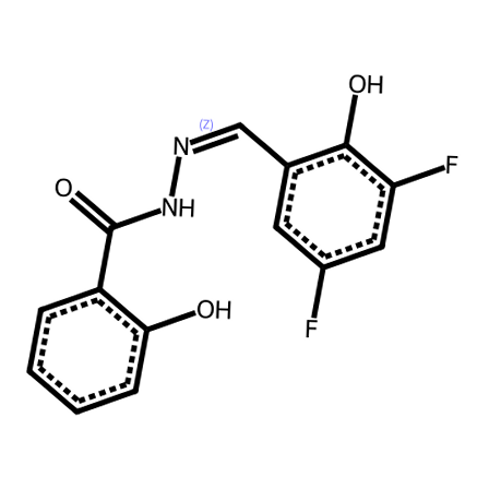 O=C(N/N=C\c1cc(F)cc(F)c1O)c1ccccc1O